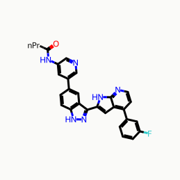 CCCC(=O)Nc1cncc(-c2ccc3[nH]nc(-c4cc5c(-c6cccc(F)c6)ccnc5[nH]4)c3c2)c1